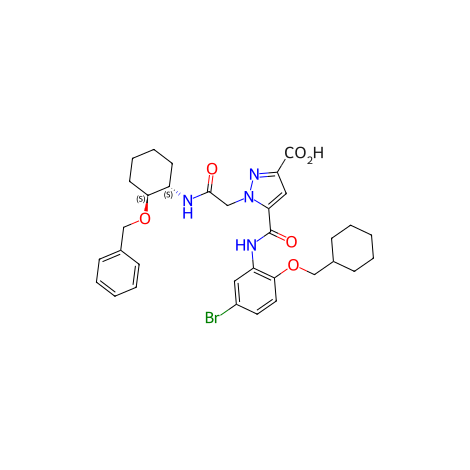 O=C(Cn1nc(C(=O)O)cc1C(=O)Nc1cc(Br)ccc1OCC1CCCCC1)N[C@H]1CCCC[C@@H]1OCc1ccccc1